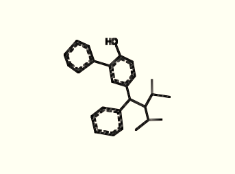 CC(C)C(C(C)C)C(c1ccccc1)c1ccc(O)c(-c2ccccc2)c1